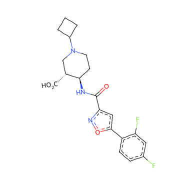 O=C(N[C@@H]1CCN(C2CCC2)C[C@H]1C(=O)O)c1cc(-c2ccc(F)cc2F)on1